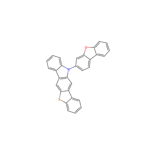 c1ccc2c(c1)oc1cc(-n3c4ccccc4c4cc5sc6ccccc6c5cc43)ccc12